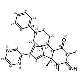 CN1C(=N)N[C@](C)(c2cc(-c3cnccn3)cs2)[C@@H](C2CCN(c3ccccc3)CC2)C1=O